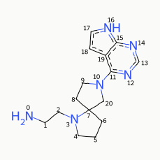 NCCN1CCCC12CCN(c1ncnc3[nH]ccc13)C2